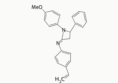 C=Cc1ccc(/N=C2\CC(c3ccccc3)N2c2ccc(OC)cc2)cc1